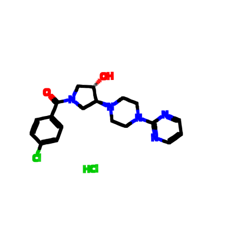 Cl.O=C(c1ccc(Cl)cc1)N1C[C@H](O)[C@@H](N2CCN(c3ncccn3)CC2)C1